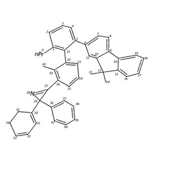 CCCc1cccc(-c2ccc3c(c2)C(C)(C)c2ccccc2-3)c1-c1cccc(C2=NC2(C2=CC=CCC2)c2ccccc2)c1C